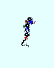 CCCCCCOc1ccc(N2CCN(c3ccc(C(=O)n4n[n+]([O-])c5ccccc54)cc3F)CC2)cc1